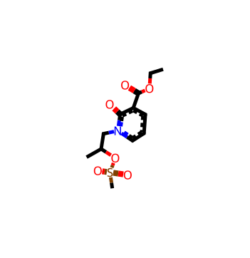 CCOC(=O)c1cccn(CC(C)OS(C)(=O)=O)c1=O